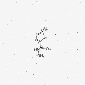 CC(=O)c1ccc(C(=O)NN)s1